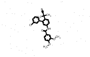 COc1ccc(C(=O)Nc2ccc(C(C)(C)C#N)c(-c3cccc(Cl)c3)c2)cc1OC